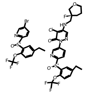 CCc1ccc(OC(F)(F)F)c([S+]([O-])c2ccc(-n3ncc(NC[C@@]4(F)CCCOC4)c(Cl)c3=O)cn2)c1.CCc1ccc(OC(F)(F)F)c([S+]([O-])c2ccc(Br)cn2)c1